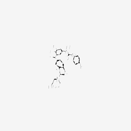 O=C(Nc1ccc(F)cc1)Nc1cc(F)c(F)c(C(=O)c2ccc3ncc(N4CCNCC4)nc3c2)c1